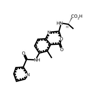 Cc1c(NC(=O)c2ccccn2)ccc2nc(N[C@@H](C)C(=O)O)oc(=O)c12